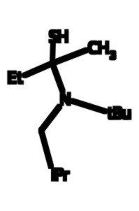 CCC(C)(S)N(CC(C)C)C(C)(C)C